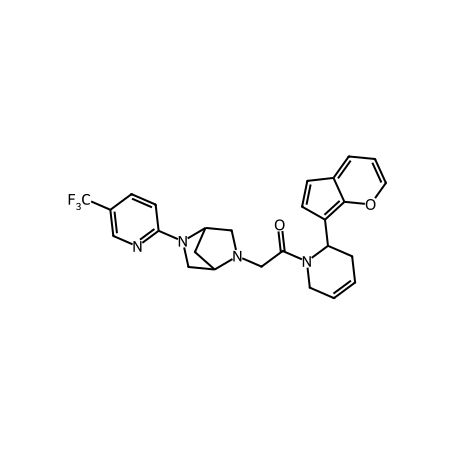 O=C(CN1CC2CC1CN2c1ccc(C(F)(F)F)cn1)N1CC=CCC1c1ccc2cccoc1-2